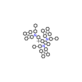 CC1(C)c2cc(N(c3ccc(-c4ccccc4)cc3)c3ccc4c(c3)C3(c5ccccc5-c5ccccc53)c3ccccc3-4)ccc2-c2cc3c(N(c4ccc(-c5ccccc5)cc4)c4ccc5c(c4)C4(c6ccccc6-c6ccccc64)c4ccccc4-5)c4ccccc4c(N(c4ccc(-c5ccccc5)cc4)c4ccc5c(c4)C4(c6ccccc6-c6ccccc64)c4ccccc4-5)c3cc21